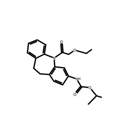 CCOCC(=O)N1c2ccccc2CCc2ccc(NC(=O)OC(C)C)cc21